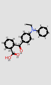 CCN(c1ccccc1)c1ccc(C(=O)c2ccccc2C(=O)O)cc1